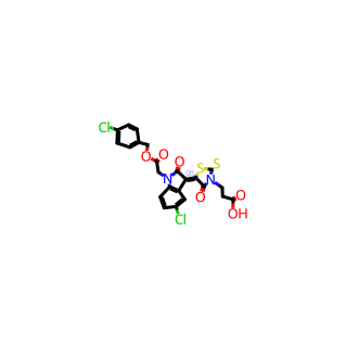 O=C(O)CCN1C(=O)/C(=C2/C(=O)N(CC(=O)OCc3ccc(Cl)cc3)c3ccc(Cl)cc32)SC1=S